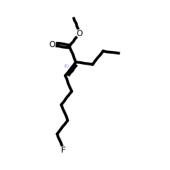 CCC/C(=C\CCCCF)C(=O)OC